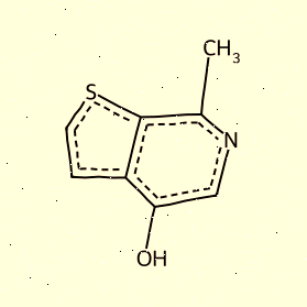 Cc1ncc(O)c2ccsc12